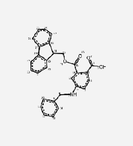 O=C(O)c1ccc(NCc2ccccc2)cc1C(=O)OCC1c2ccccc2-c2ccccc21